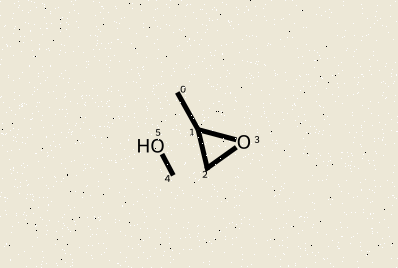 CC1CO1.CO